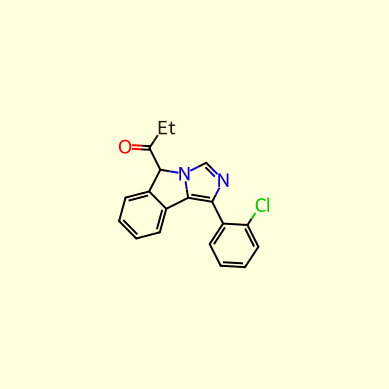 CCC(=O)C1c2ccccc2-c2c(-c3ccccc3Cl)ncn21